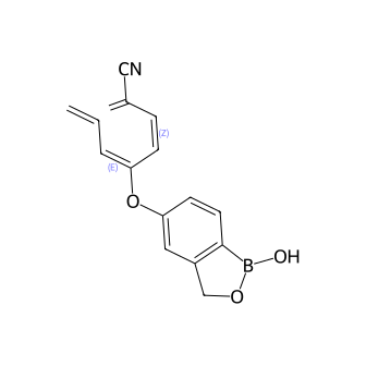 C=C/C=C(\C=C/C(=C)C#N)Oc1ccc2c(c1)COB2O